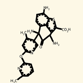 Cc1cccc(Oc2cc(C)c(C3(N)C(=O)C(N)c4c(C(=O)O)sc5c(N)ccc3c45)cn2)n1